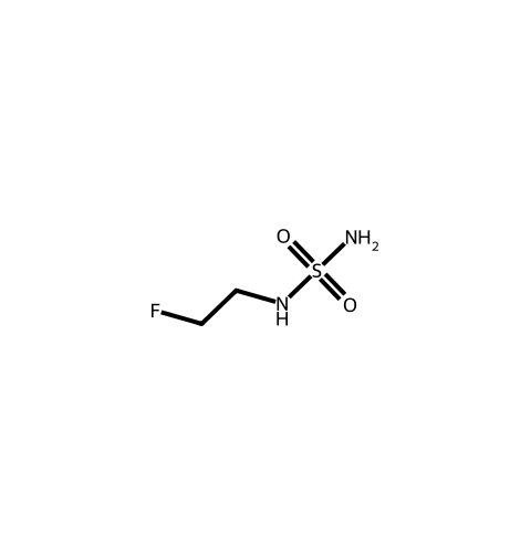 NS(=O)(=O)NCCF